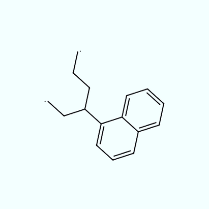 [CH2]CCC(C[CH2])c1cccc2ccccc12